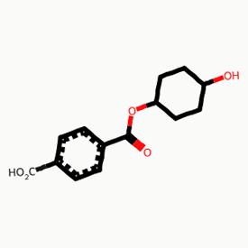 O=C(O)c1ccc(C(=O)OC2CCC(O)CC2)cc1